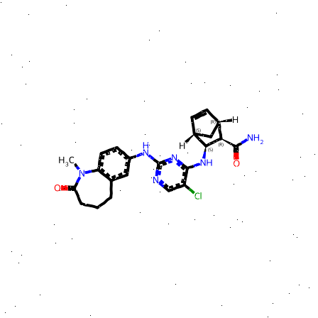 CN1C(=O)CCCc2cc(Nc3ncc(Cl)c(N[C@@H]4[C@H](C(N)=O)[C@H]5C=C[C@@H]4C5)n3)ccc21